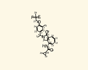 Cc1cc(C(C)N2CC3=C(C=C=CC=C3NC(=O)C3CC3)C2=O)ccc1OCC(C)(F)F